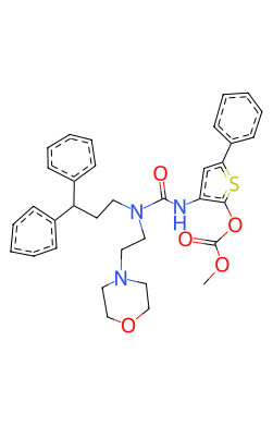 COC(=O)Oc1sc(-c2ccccc2)cc1NC(=O)N(CCC(c1ccccc1)c1ccccc1)CCN1CCOCC1